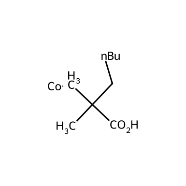 CCCCCC(C)(C)C(=O)O.[Co]